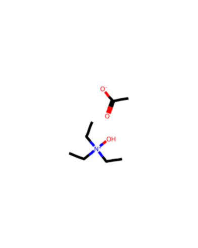 CC(=O)[O-].CC[N+](O)(CC)CC